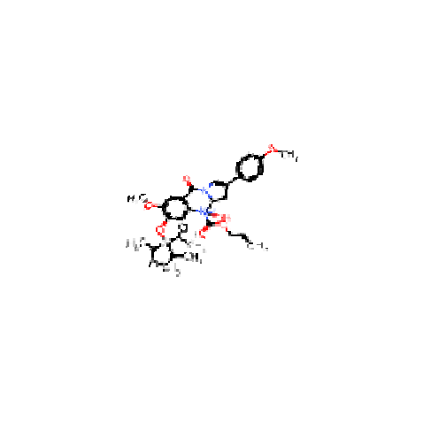 C=CCOC(=O)Nc1cc(O[Si](C(C)C)(C(C)C)C(C)C)c(OC)cc1C(=O)N1C=C(c2ccc(OC)cc2)C[C@H]1CO